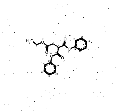 CCOC(=O)CC(C(=O)Oc1ccccc1)C(=O)Oc1ccccc1